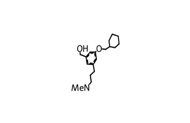 CNCCCc1cc(CO)cc(OCC2CCCCC2)c1